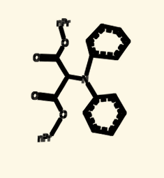 CCCOC(=O)C(C(=O)OCCC)N(c1ccccc1)c1ccccc1